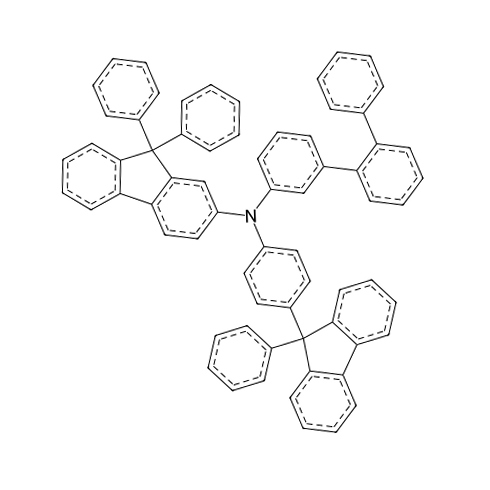 c1ccc(-c2ccccc2-c2cccc(N(c3ccc(C4(c5ccccc5)c5ccccc5-c5ccccc54)cc3)c3ccc4c(c3)C(c3ccccc3)(c3ccccc3)c3ccccc3-4)c2)cc1